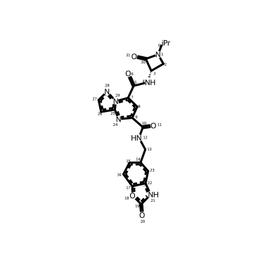 CC(C)N1C[C@H](NC(=O)c2cc(C(=O)NCc3ccc4oc(=O)[nH]c4c3)nc3ccnn23)C1=O